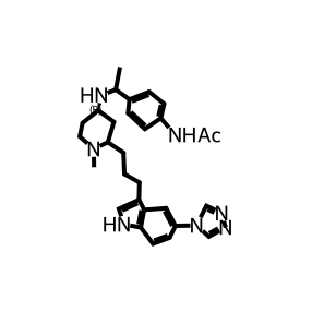 CC(=O)Nc1ccc(C(C)N[C@@H]2CCN(C)C(CCCc3c[nH]c4ccc(-n5cnnc5)cc34)C2)cc1